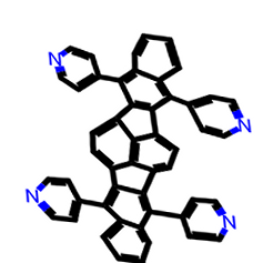 c1ccc2c(-c3ccncc3)c3c(c(-c4ccncc4)c2c1)-c1ccc2c4c(ccc-3c14)-c1c-2c(-c2ccncc2)c2ccccc2c1-c1ccncc1